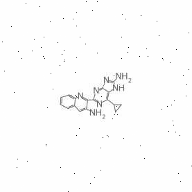 Nc1nc2nc(-c3nc4ccccc4cc3N)nc(C3CC3)c2[nH]1